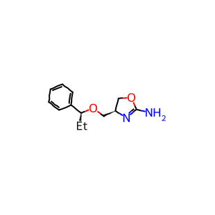 CC[C@H](OC[C@H]1COC(N)=N1)c1ccccc1